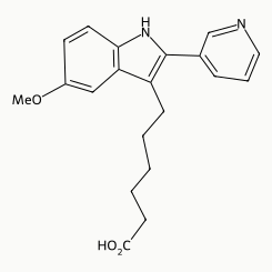 COc1ccc2[nH]c(-c3cccnc3)c(CCCCCC(=O)O)c2c1